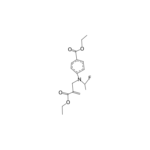 C=C(CN(c1ccc(C(=O)OCC)cc1)C(C)F)C(=O)OCC